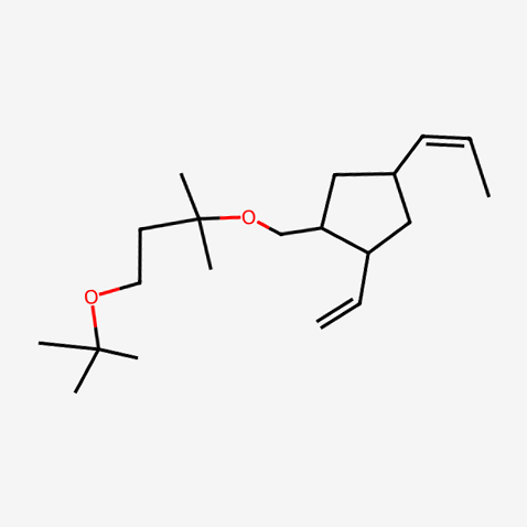 C=CC1CC(/C=C\C)CC1COC(C)(C)CCOC(C)(C)C